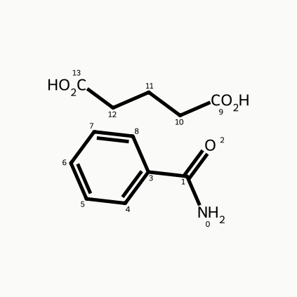 NC(=O)c1ccccc1.O=C(O)CCCC(=O)O